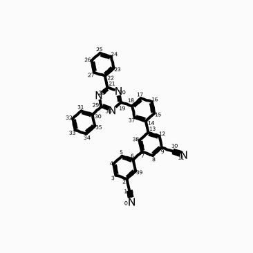 N#Cc1cccc(-c2cc(C#N)cc(-c3cccc(-c4nc(-c5ccccc5)nc(-c5ccccc5)n4)c3)c2)c1